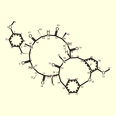 COc1ccc(C[C@H]2C(=O)N[C@@H](C)C(=O)N(C)[C@H]3Cc4ccc(cc4)Oc4cc(ccc4OC)C[C@@H](C(=O)N[C@H](C)C(=O)N[C@@H](C)C(=O)N2C)N(C)C3=O)cc1